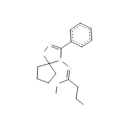 CCOC(CCC(=O)O)=NN1C(c2ccccc2)=NOC12CCCC2